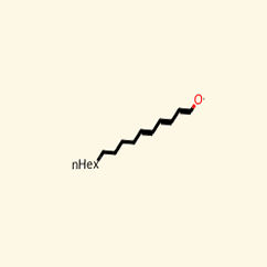 CCCCCCCCCCC=CC=CC=C[O]